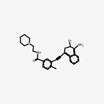 CCC1CC(C#Cc2cc(C(=O)NCCN3CCCCC3)ccc2C)=c2ccccc2=C1N